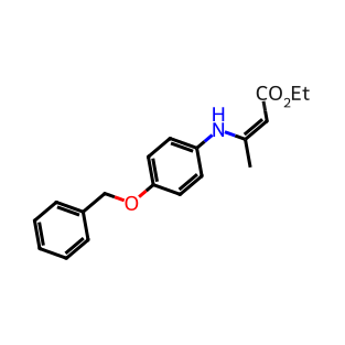 CCOC(=O)/C=C(/C)Nc1ccc(OCc2ccccc2)cc1